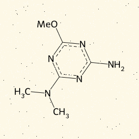 COc1nc(N)nc(N(C)C)n1